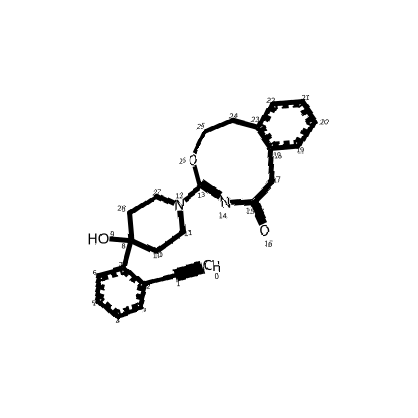 C#Cc1ccccc1C1(O)CCN(/C2=N/C(=O)Cc3ccccc3CCO2)CC1